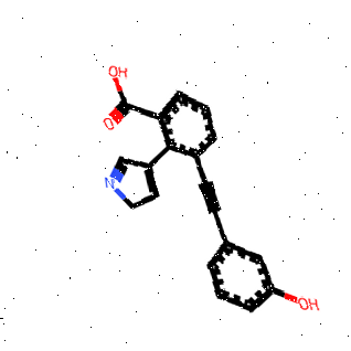 O=C(O)c1cccc(C#Cc2cccc(O)c2)c1C1=CCN=C1